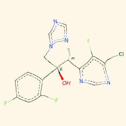 C[C@H](c1ncnc(Cl)c1F)[C@@](O)(Cn1cncn1)c1ccc(F)cc1F